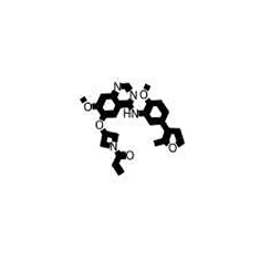 C=CC(=O)N1CC(Oc2cc3c(Nc4cc(-c5ccoc5C)ccc4OC)ncnc3cc2OC)C1